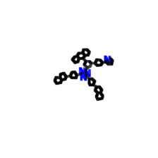 C1=C(c2ccc(-c3ccccn3)cc2)CC(c2nc(-c3ccc(-c4ccc5ccccc5c4)cc3)nc(-c3ccc(-c4ccc5ccccc5c4)cc3)n2)C=C1c1c2ccccc2cc2ccccc12